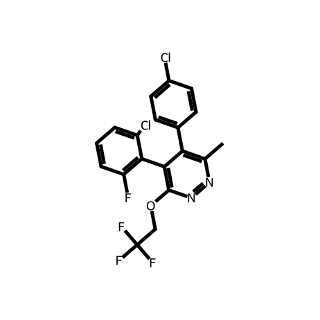 Cc1nnc(OCC(F)(F)F)c(-c2c(F)cccc2Cl)c1-c1ccc(Cl)cc1